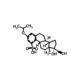 C#C[C@]1(O)CC[C@H]2[C@@H]3CCc4cc(OC(C)C)cc(S(=O)(=O)O)c4[C@H]3CCC21C